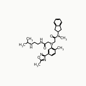 Cc1nc(-c2ccc(C)c(N(CC(=O)NCCNC(C)C)CC(=O)N(C)C3Cc4ccccc4C3)c2)no1